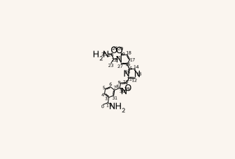 CC(N)c1cccc(-c2cc(-c3cncc(-c4ccc(=O)n(C(C)C(N)=O)c4)n3)on2)c1